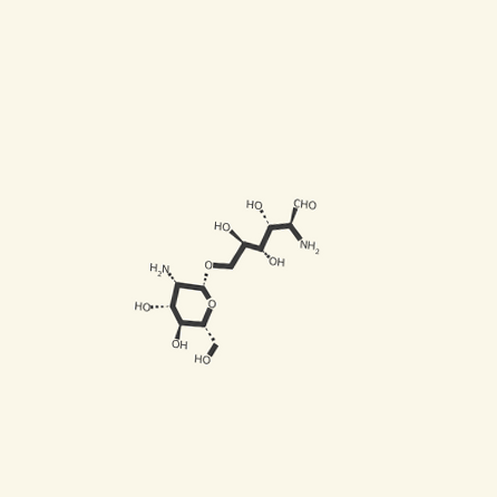 N[C@@H]1[C@H](OC[C@@H](O)[C@@H](O)[C@H](O)[C@H](N)C=O)O[C@H](CO)[C@@H](O)[C@@H]1O